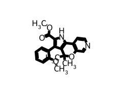 COC(=O)c1[nH]c2c(c1-c1ccccc1OC)C(C)(C)Oc1cnccc1-2